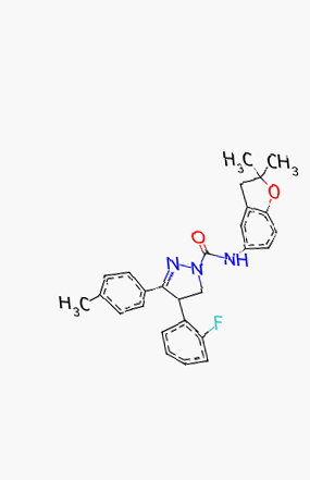 Cc1ccc(C2=NN(C(=O)Nc3ccc4c(c3)CC(C)(C)O4)CC2c2ccccc2F)cc1